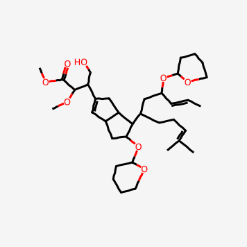 CC=CC(CC(CCC=C(C)C)C1C(OC2CCCCO2)CC2C=C(C(CO)C(OC)C(=O)OC)CC21)OC1CCCCO1